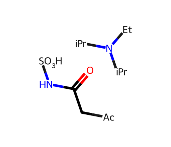 CC(=O)CC(=O)NS(=O)(=O)O.CCN(C(C)C)C(C)C